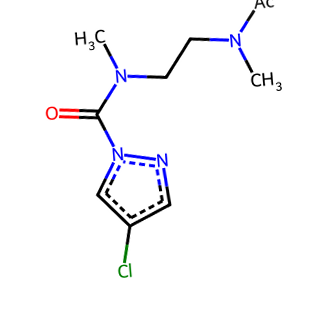 CC(=O)N(C)CCN(C)C(=O)n1cc(Cl)cn1